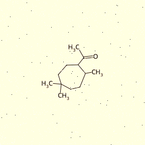 CC(=O)C1CCC(C)(C)CCC1C